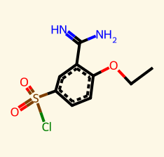 CCOc1ccc(S(=O)(=O)Cl)cc1C(=N)N